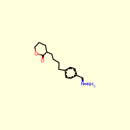 NN=Cc1ccc(CCCCC2CCCOC2=O)cc1